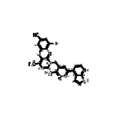 N#Cc1cc(Cl)cc(Oc2c(C(F)(F)F)ncn(C/C(=C/C(=N)c3ccnc4[nH]ccc34)C(N)=O)c2=O)c1